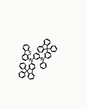 c1ccc(N(c2cccc(N(c3ccc4c(c3)C(c3ccccc3)(c3ccccc3)c3ccccc3-4)c3cccc4c3sc3ccccc34)c2)c2cccc(C3(c4ccccc4)c4ccccc4-c4ccccc43)c2)cc1